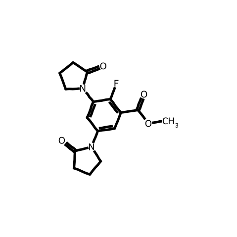 COC(=O)c1cc(N2CCCC2=O)cc(N2CCCC2=O)c1F